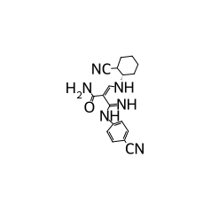 N#Cc1ccc(NC(=N)/C(=C\N[C@H]2CCCCC2C#N)C(N)=O)cc1